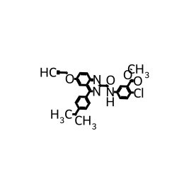 C#CCOc1ccc2nc(C(=O)Nc3ccc(Cl)c(C(=O)OC)c3)nc(-c3ccc(C(C)C)cc3)c2c1